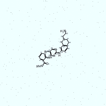 CNC(=O)c1ccccc1Nc1nc(Nc2ccc3c(c2)CN(CCN)CC3)ncc1Br